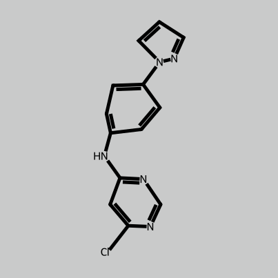 Clc1cc(Nc2ccc(-n3cccn3)cc2)ncn1